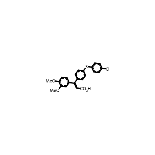 COc1ccc(C(=CC(=O)O)c2ccc(Sc3ccc(Cl)cc3)cc2)cc1OC